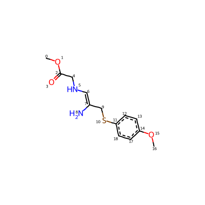 COC(=O)CN/C=C(\N)CSc1ccc(OC)cc1